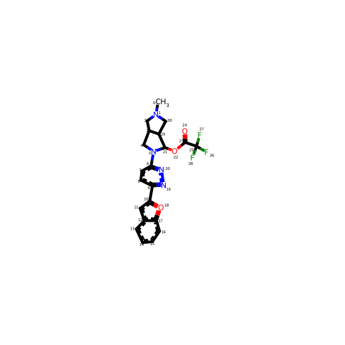 CN1CC2CN(c3ccc(-c4cc5ccccc5o4)nn3)C(OC(=O)C(F)(F)F)C2C1